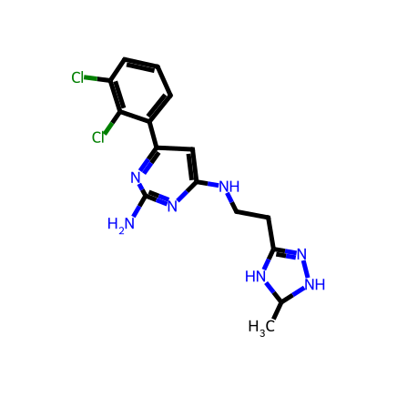 CC1NN=C(CCNc2cc(-c3cccc(Cl)c3Cl)nc(N)n2)N1